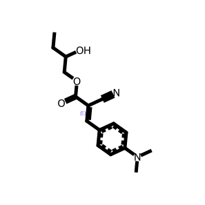 CCC(O)COC(=O)/C(C#N)=C/c1ccc(N(C)C)cc1